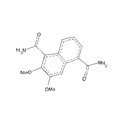 COc1cc2c(C(N)=O)cccc2c(C(N)=O)c1OC